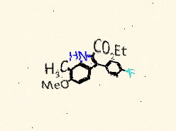 CCOC(=O)c1[nH]c2c(C)c(OC)ccc2c1-c1ccc(F)cc1